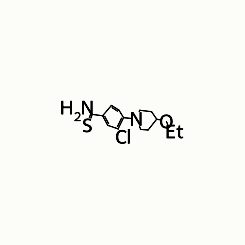 CCOC1CCN(c2ccc(C(N)=S)cc2Cl)CC1